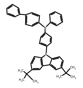 CC(C)(C)c1ccc2c(c1)c1cc(C(C)(C)C)ccc1n2-c1ccc(N(c2ccccc2)c2ccc(-c3ccccc3)cc2)cc1